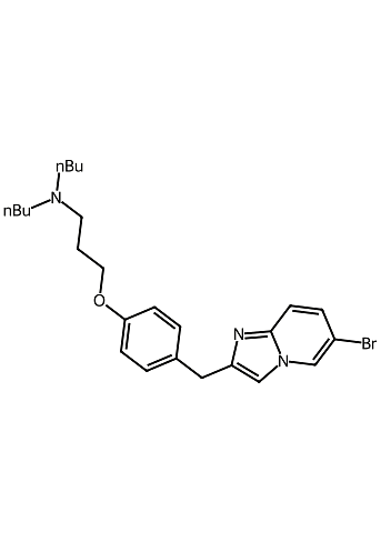 CCCCN(CCCC)CCCOc1ccc(Cc2cn3cc(Br)ccc3n2)cc1